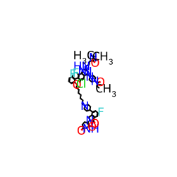 CCC(=O)N1CCN(c2nc(NCCC(=O)N(C)C)nc3c(F)c(-c4c(F)cccc4OCCCCCCCN4CCC(c5cc(F)cc6c5CN(C5CCC(=O)NC5=O)C6=O)CC4)c(Cl)cc23)CC1